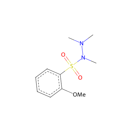 COc1ccccc1S(=O)(=O)N(C)N(C)C